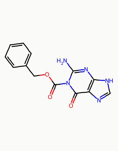 Nc1nc2[nH]cnc2c(=O)n1C(=O)OCc1ccccc1